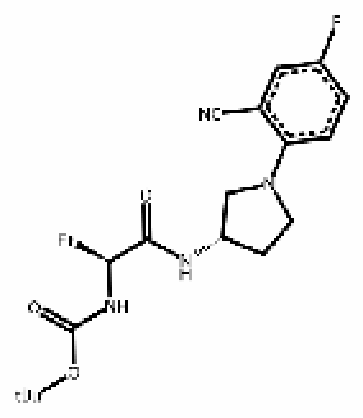 CC[C@H](NC(=O)OC(C)(C)C)C(=O)N[C@H]1CCN(c2ccc(F)cc2C#N)C1